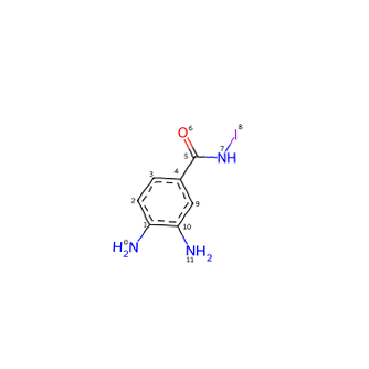 Nc1ccc(C(=O)NI)cc1N